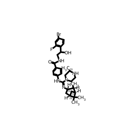 C[C@H]1[C@@H](N=C(Nc2ccc(C(=O)NCC(O)c3ccc(Br)cc3F)cc2)N2CCN[C@@H](C)C2)C[C@@H]2C[C@@H]1C2(C)C